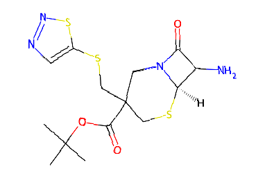 CC(C)(C)OC(=O)C1(CSc2cnns2)CS[C@@H]2C(N)C(=O)N2C1